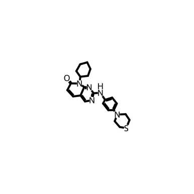 O=c1ccc2cnc(Nc3ccc(N4CCSCC4)cc3)nc2n1C1CCCCC1